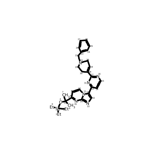 CC[Si](CC)(CC)OC(C)(C)c1ccn2c(-c3ccnc(C4=CCN(Cc5ccccc5)CC4)n3)cnc2n1